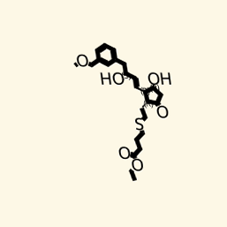 CCOC(=O)CCCSCC[C@H]1C(=O)C[C@@H](O)[C@@H]1C=C[C@@H](O)Cc1cccc(COC)c1